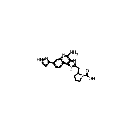 Nc1nc2cc(-c3cc[nH]n3)ccc2c2[nH]c(CC3CCCN3C(=O)O)nc12